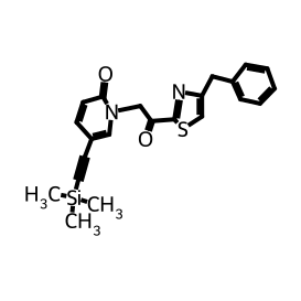 C[Si](C)(C)C#Cc1ccc(=O)n(CC(=O)c2nc(Cc3ccccc3)cs2)c1